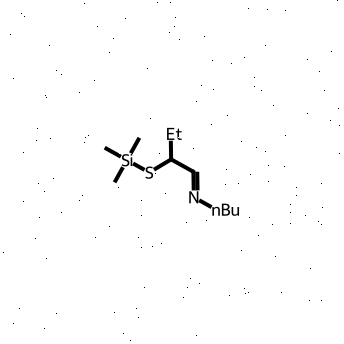 CCCCN=CC(CC)S[Si](C)(C)C